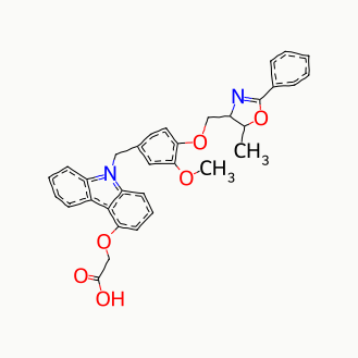 COc1cc(Cn2c3ccccc3c3c(OCC(=O)O)cccc32)ccc1OCC1N=C(c2ccccc2)OC1C